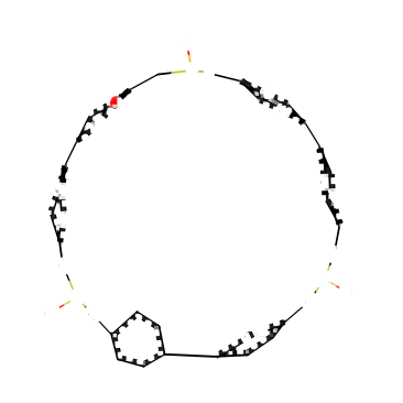 [O-][S+]1Cc2ccc(cc2)-c2ccc(cc2)C[S+]([O-])Cc2ccc(cc2)-c2ccc(cc2)C[S+]([O-])Cc2ccc(cc2)-c2ccc(cc2)C1